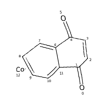 O=C1C=CC(=O)c2ccccc21.[Co]